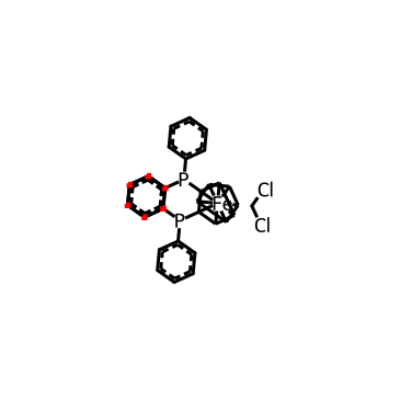 ClCCl.c1ccc(P(c2ccccc2)[C]23[CH]4[CH]5[CH]6[C]2(P(c2ccccc2)c2ccccc2)[Fe]54632789[CH]3[CH]2[CH]7[CH]8[CH]39)cc1